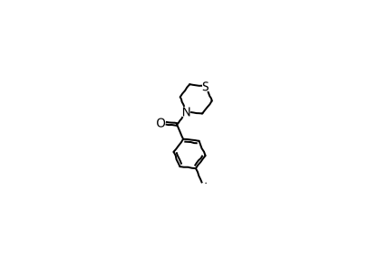 [CH2]c1ccc(C(=O)N2CCSCC2)cc1